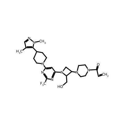 C=CC(=O)N1CCN(C2CN(c3cc(N4CCC(c5c(C)cnn5C)CC4)nc(C(F)(F)F)n3)C2CO)CC1